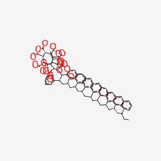 CCC(CC(CC(CC(CC(CC(CC(CC(CC(c1ccccc1)C1C(=O)OC(=O)C1C1C(=O)OC(=O)C1C1C(=O)OC(=O)C1C1C(=O)OC(=O)C1C1C(=O)OC(=O)C1C1C(=O)OC(=O)C1C)c1ccccc1)c1ccccc1)c1ccccc1)c1ccccc1)c1ccccc1)c1ccccc1)c1ccccc1)c1ccccc1